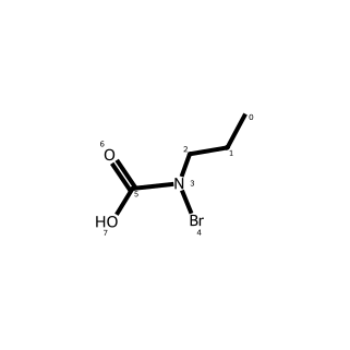 CCCN(Br)C(=O)O